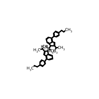 CCCc1ccc(-c2cccc3c2C=C(C(C)C)C3[Si](C)(C)C2C(C(C)C)=Cc3c(-c4ccc(CCC)cc4)cccc32)cc1